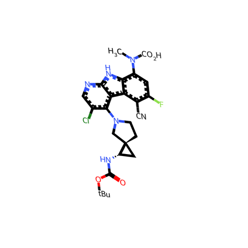 CN(C(=O)O)c1cc(F)c(C#N)c2c1[nH]c1ncc(Cl)c(N3CC[C@]4(C[C@@H]4NC(=O)OC(C)(C)C)C3)c12